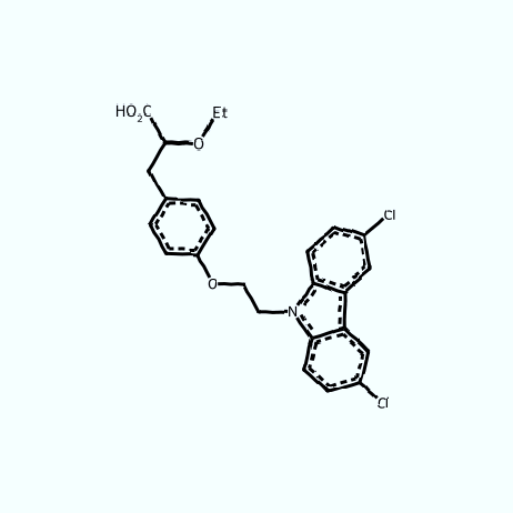 CCOC(Cc1ccc(OCCn2c3ccc(Cl)cc3c3cc(Cl)ccc32)cc1)C(=O)O